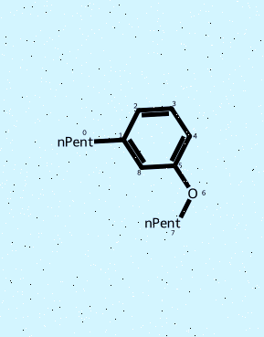 [CH2]CCCCc1cccc(OCCCCC)c1